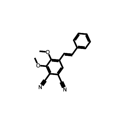 COc1c(C=Cc2ccccc2)cc(C#N)c(C#N)c1OC